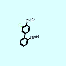 COc1ccccc1-c1ccc(C=O)c(F)c1